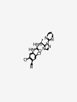 C[C@H](NC(=O)Nc1cc(Cl)c(C#N)cc1Cl)c1ncnn1-c1ncccn1